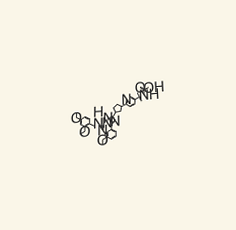 COc1ccc(CNc2nc3c(OC)cccc3c3nc(C4CCC(c5ccc(C(C)(C)NC(=O)O)cn5)C4)nn23)c(OC)c1